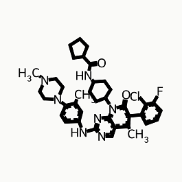 Cc1cc(Nc2ncc3c(C)c(-c4cccc(F)c4Cl)c(=O)n(C4CCC(NC(=O)C5CCCC5)CC4)c3n2)ccc1N1CCN(C)CC1